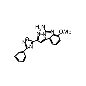 COc1cccc2c1nc(N)n1nc(-c3nc(-c4ccccc4)no3)cc21